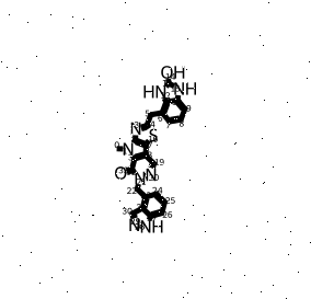 Cn1c2nc(Cc3cccc4c3NC(O)N4)sc2c2cnn(Cc3cccc4[nH]ncc34)c(=O)c21